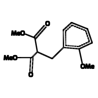 COC(=O)C(Cc1ccccc1OC)C(=O)OC